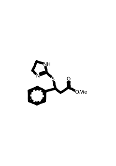 COC(=O)CC(SC1=NCCN1)c1ccccc1